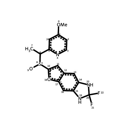 COc1ccnc(C(C)[S+]([O-])c2cc3cc4c(cc3o2)NC(F)(F)N4)c1